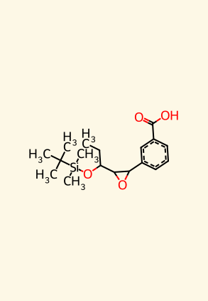 CCC(O[Si](C)(C)C(C)(C)C)C1OC1c1cccc(C(=O)O)c1